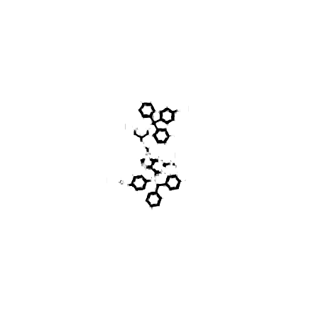 CNc1nc(N(c2ccc(OC)cc2)C(c2ccccc2)c2ccccc2)c2ncn(COC(CO)COC(c3ccccc3)(c3ccccc3)c3ccc(C)cc3)c2n1